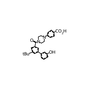 CC(C)(C)c1cc(C(=O)N2CCN(c3ccc(C(=O)O)cc3)CC2)cc(-c2cccc(O)c2)c1